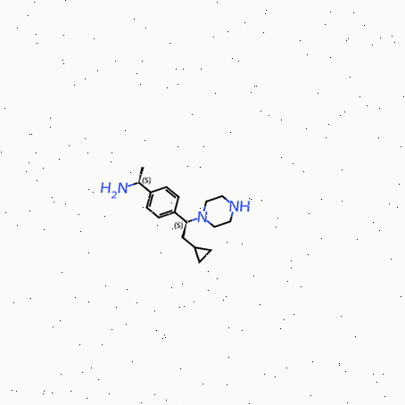 C[C@H](N)c1ccc([C@H](CC2CC2)N2CCNCC2)cc1